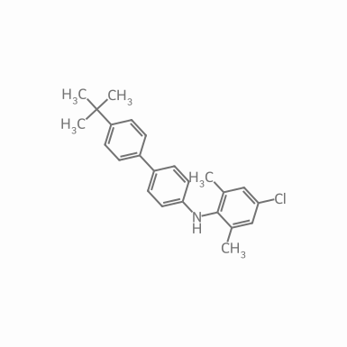 Cc1cc(Cl)cc(C)c1Nc1ccc(-c2ccc(C(C)(C)C)cc2)cc1